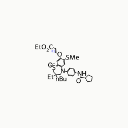 CCCCC1(CC)CN(c2ccc(NC(=O)C3CCCC3)cc2)c2cc(SC)c(O/C=C/C(=O)OCC)cc2[S+]([O-])C1